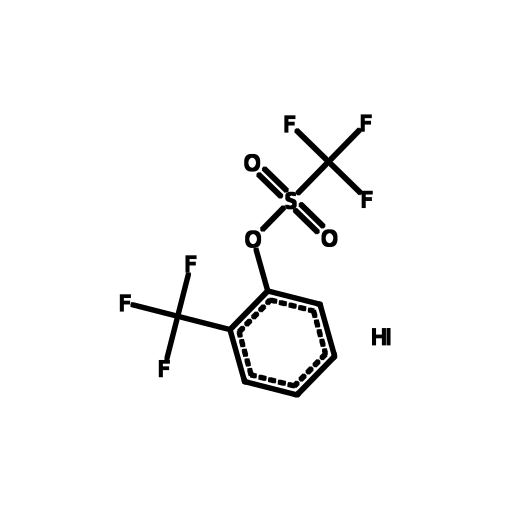 I.O=S(=O)(Oc1ccccc1C(F)(F)F)C(F)(F)F